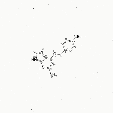 CC(C)(C)c1ccc(COc2nc(N)nc3[nH]cnc23)cc1